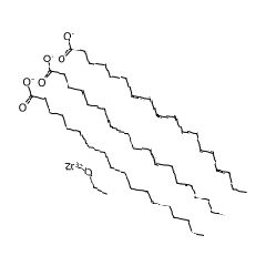 CCCCCCCCCCCCCCCCCC(=O)[O-].CCCCCCCCCCCCCCCCCC(=O)[O-].CCCCCCCCCCCCCCCCCC(=O)[O-].CC[O][Zr+3]